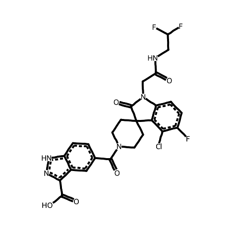 O=C(CN1C(=O)C2(CCN(C(=O)c3ccc4[nH]nc(C(=O)O)c4c3)CC2)c2c1ccc(F)c2Cl)NCC(F)F